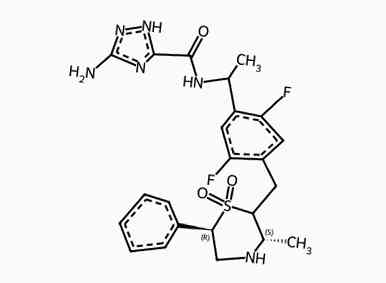 CC(NC(=O)c1nc(N)n[nH]1)c1cc(F)c(CC2[C@H](C)NC[C@@H](c3ccccc3)S2(=O)=O)cc1F